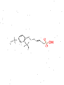 CCC(C)(C)c1ccc(CCCC=CCS(=O)(=O)O)c(C(C)(C)CC)c1